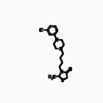 CC1SCC(=O)N1CCCCN1CCN(c2cccc(Cl)c2)CC1